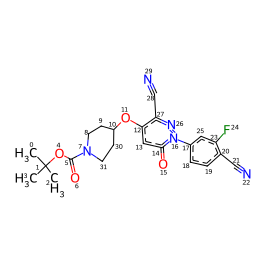 CC(C)(C)OC(=O)N1CCC(Oc2cc(=O)n(-c3ccc(C#N)c(F)c3)nc2C#N)CC1